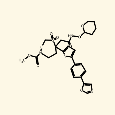 COC(=O)N1CCC(CC(=O)NOC2CCCCO2)(c2ccc(-c3ccc(-c4cnco4)cc3)s2)S(=O)(=O)CC1